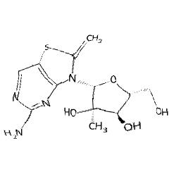 C=C1Sc2cnc(N)nc2N1[C@@H]1O[C@H](CO)[C@@H](O)[C@@]1(C)O